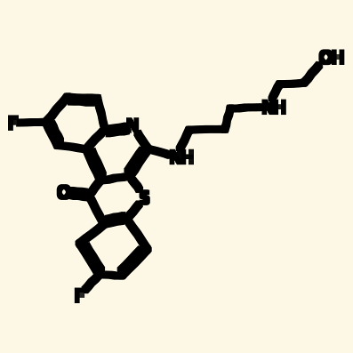 O=c1c2cc(F)ccc2sc2c(NCCCNCCO)nc3ccc(F)cc3c12